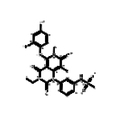 CCn1c(=O)c2c(Nc3ccc(I)cc3F)n(C)c(=O)c(C)c2n(-c2cccc(NS(C)(=O)=O)c2)c1=O